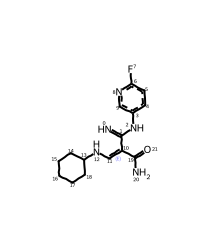 N=C(Nc1ccc(F)nc1)/C(=C\NC1CCCCC1)C(N)=O